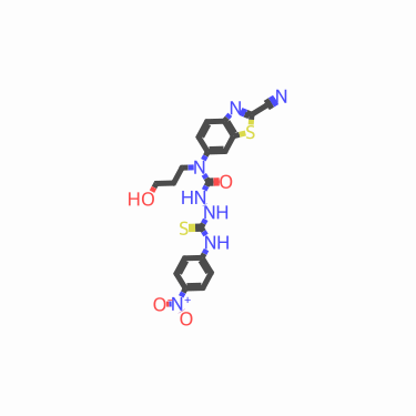 N#Cc1nc2ccc(N(CCCO)C(=O)NNC(=S)Nc3ccc([N+](=O)[O-])cc3)cc2s1